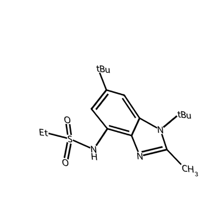 CCS(=O)(=O)Nc1cc(C(C)(C)C)cc2c1nc(C)n2C(C)(C)C